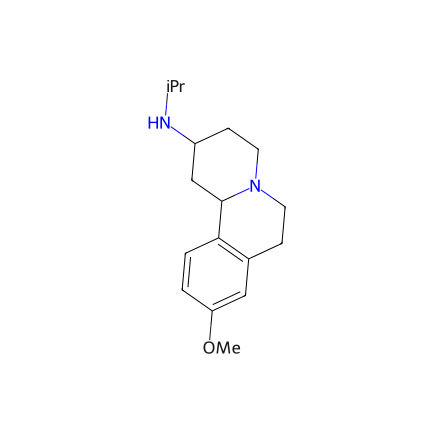 COc1ccc2c(c1)CCN1CCC(NC(C)C)CC21